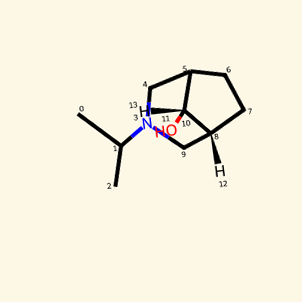 CC(C)N1CC2CC[C@H](C1)[C@@H]2O